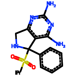 CC(C)S(=O)(=O)C1(c2ccccc2)NCc2nc(N)nc(N)c21